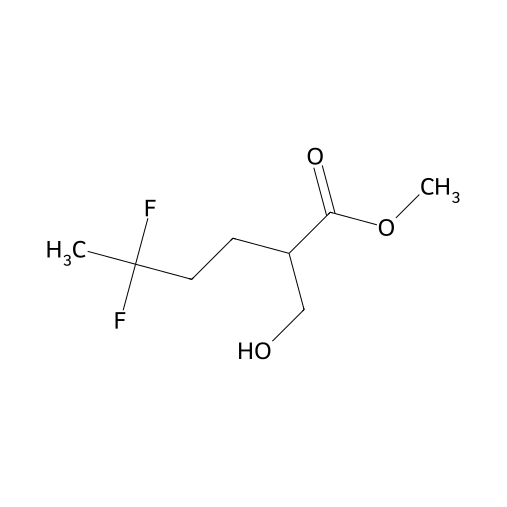 COC(=O)C(CO)CCC(C)(F)F